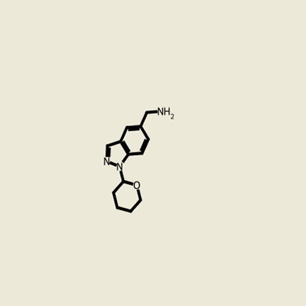 NCc1ccc2c(cnn2C2CCCCO2)c1